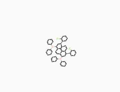 Fc1ccccc1-c1cc(B(c2ccccc2)c2ccccc2)c2ccc3c(B(c4ccccc4)c4ccccc4)cc(-c4ccccc4F)c4ccc1c2c34